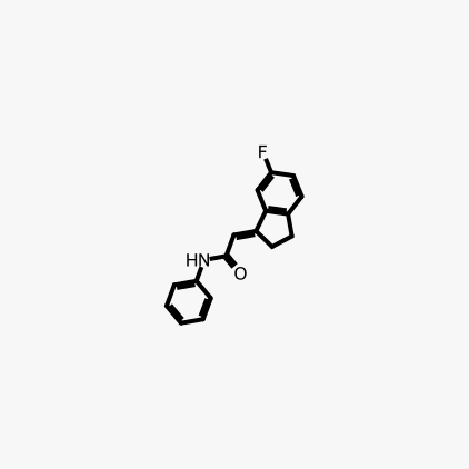 O=C(/C=C1\CCc2ccc(F)cc21)Nc1ccccc1